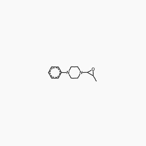 CC1OC1N1CCN(c2ccccc2)CC1